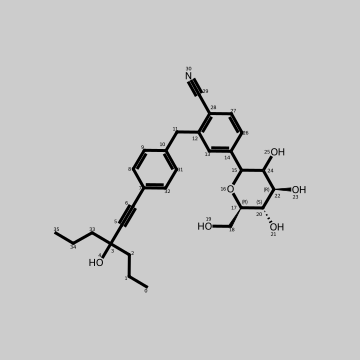 CCCC(O)(C#Cc1ccc(Cc2cc(C3O[C@H](CO)[C@@H](O)[C@H](O)C3O)ccc2C#N)cc1)CCC